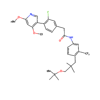 CCCCOc1cc(OCC)c(-c2ccc(CC(=O)Nc3ccc(CC(C)(C)CO[Si](C)(C)C(C)(C)C)c(C(F)(F)F)c3)cc2F)cn1